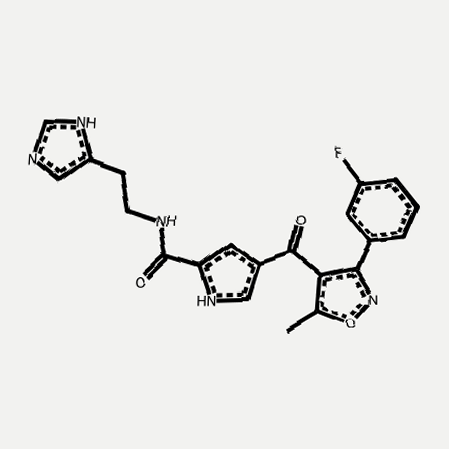 Cc1onc(-c2cccc(F)c2)c1C(=O)c1c[nH]c(C(=O)NCCc2cnc[nH]2)c1